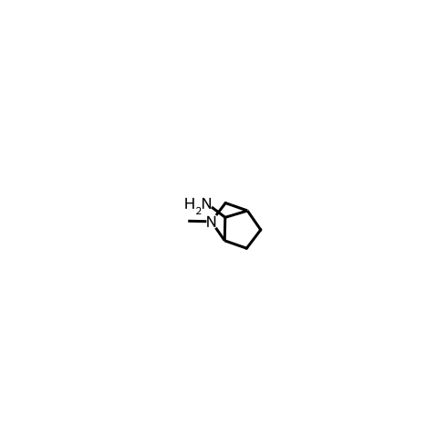 CN1CC2CCC1C2N